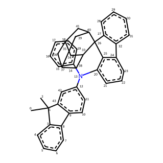 CC1(C)c2ccccc2-c2ccc(N(c3ccccc3)c3cccc4c3C3(c5ccccc5-4)C4CC5CC(C4)CC3C5)cc21